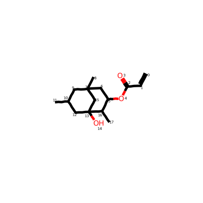 C=CC(=O)OC1CC2(C)CC(C)CC(O)(C2)C1C